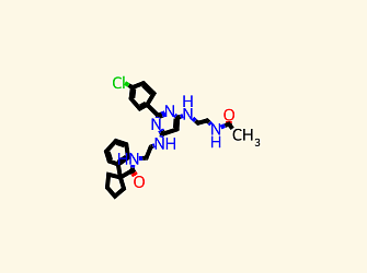 CC(=O)NCCNc1cc(NCCNC(=O)C2(c3ccccc3)CCCC2)nc(-c2ccc(Cl)cc2)n1